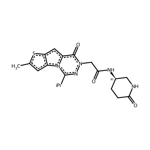 Cc1cc2c(cc3c(=O)n(CC(=O)N[C@@H]4CCC(=O)NC4)nc(C(C)C)n32)s1